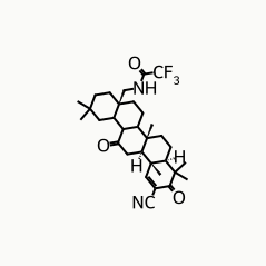 CC1(C)CC[C@]2(CNC(=O)C(F)(F)F)CCC3C(C(=O)C[C@@H]4[C@@]5(C)C=C(C#N)C(=O)C(C)(C)[C@@H]5CC[C@@]34C)C2C1